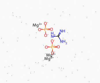 N=C(N)N.O=P([O-])([O-])[O-].O=P([O-])([O-])[O-].[Mg+2].[Mg+2].[Mg+2]